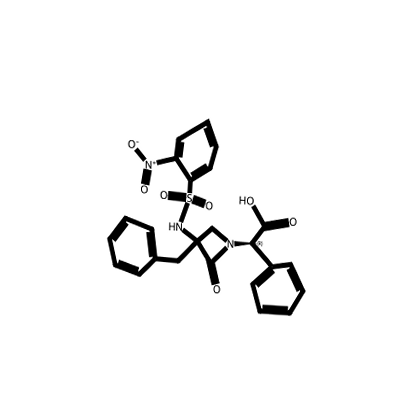 O=C(O)[C@@H](c1ccccc1)N1CC(Cc2ccccc2)(NS(=O)(=O)c2ccccc2[N+](=O)[O-])C1=O